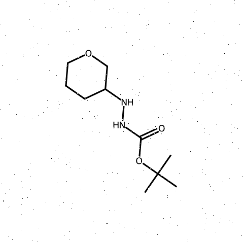 CC(C)(C)OC(=O)NNC1CCCOC1